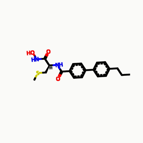 CCCc1ccc(-c2ccc(C(=O)N[C@@H](CSC)C(=O)NO)cc2)cc1